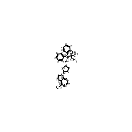 CC(C)(C)[Si](OC[C@@H]1CCC(n2cnc3c(Cl)ncnc32)S1)(c1ccccc1)c1ccccc1